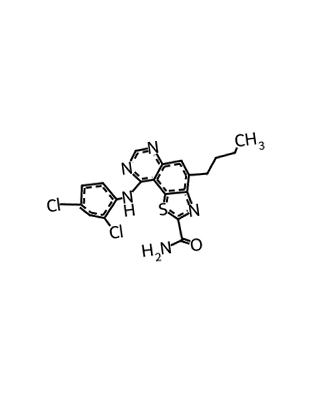 CCCCc1cc2ncnc(Nc3ccc(Cl)cc3Cl)c2c2sc(C(N)=O)nc12